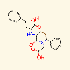 O=C(O)CN1C(=O)[C@@H](NC(CCc2ccccc2)C(=O)O)CSC1c1ccccc1